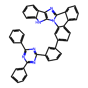 c1ccc(-c2nc(-c3ccccc3)nc(-c3cccc(-c4ccc5c6ccccc6c6nc7c8ccccc8[nH]c7n6c5c4)c3)n2)cc1